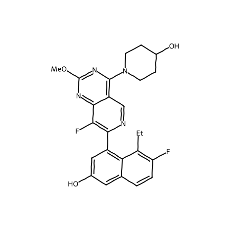 CCc1c(F)ccc2cc(O)cc(-c3ncc4c(N5CCC(O)CC5)nc(OC)nc4c3F)c12